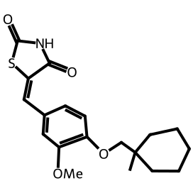 COc1cc(/C=C2/SC(=O)NC2=O)ccc1OCC1(C)CCCCC1